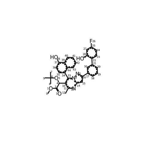 COC(=O)[C@@H](OC(C)(C)C)c1c(C)nc2cc(-c3cccc(-c4ccc(F)cc4O)c3)nn2c1-c1ccc(O)c2ccccc12